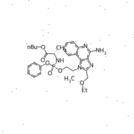 CCCCOC(=O)[C@H](C)NP(=O)(OC[C@@H](C)n1c(COCC)nc2c(N)nc3ccccc3c21)Oc1ccccc1